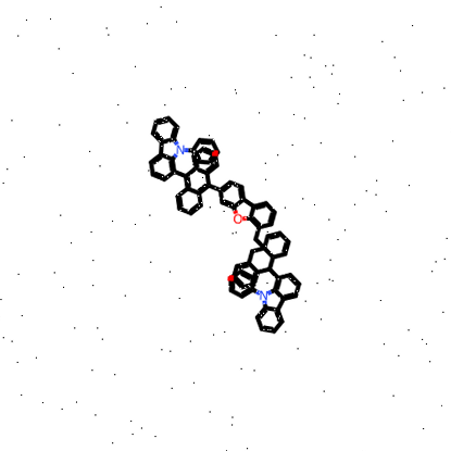 C1=CC2C(c3cccc4c5ccccc5n(-c5ccccc5)c34)c3ccccc3CC2(Cc2cccc3c2oc2cc(-c4c5ccccc5c(-c5cccc6c7ccccc7n(-c7ccccc7)c56)c5ccccc45)ccc23)C=C1